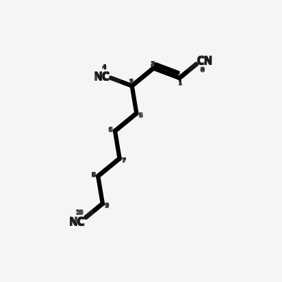 N#CC=CC(C#N)CCCCCC#N